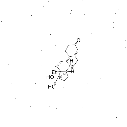 C#C[C@]1(O)CC[C@H]2[C@@H]3CCC4=CC(=O)CCC4=C3C=CC21CC